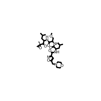 COCC(NC(=O)C(CC(C)C)NC(=O)c1cc(CN2CCOCC2)on1)C(=O)NC(CC(C)C)C(=O)[C@@]1(C)CO1